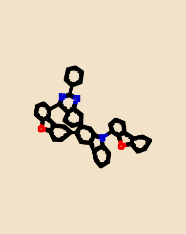 c1ccc(-c2nc(-c3cccc4oc5ccc(-c6ccc7c(c6)c6ccccc6n7-c6cccc7c6oc6ccccc67)cc5c34)c3ccccc3n2)cc1